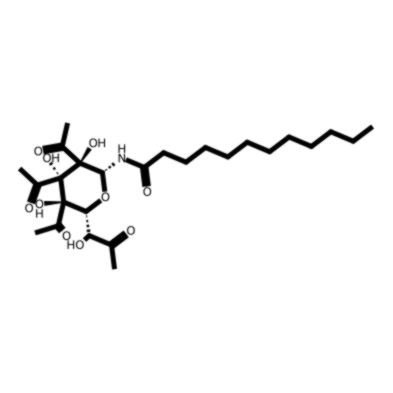 CCCCCCCCCCCC(=O)N[C@@H]1O[C@H](C(O)C(C)=O)[C@](O)(C(C)=O)[C@@](O)(C(C)=O)[C@]1(O)C(C)=O